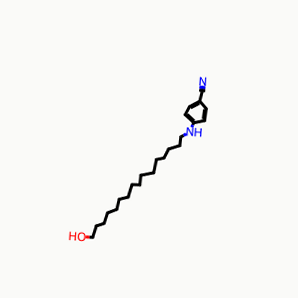 N#Cc1ccc(NCCCCCCCCCCCCCCCCO)cc1